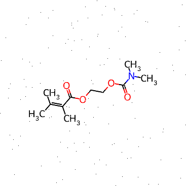 CC(C)=C(C)C(=O)OCCOC(=O)N(C)C